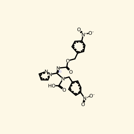 O=C(/N=C(\N(Cc1ccc([N+](=O)[O-])cc1)C(=O)O)n1cccn1)OCc1ccc([N+](=O)[O-])cc1